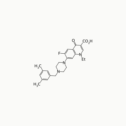 CCn1cc(C(=O)O)c(=O)c2cc(F)c(N3CCN(Cc4cc(C)cc(C)c4)CC3)cc21